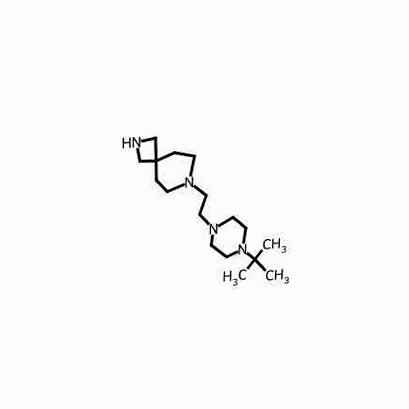 CC(C)(C)N1CCN(CCN2CCC3(CC2)CNC3)CC1